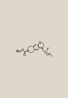 C[C@@H](F)CN1CCOc2cc3c(cc21)CCN(C(=O)OC(C)(C)C)CC3